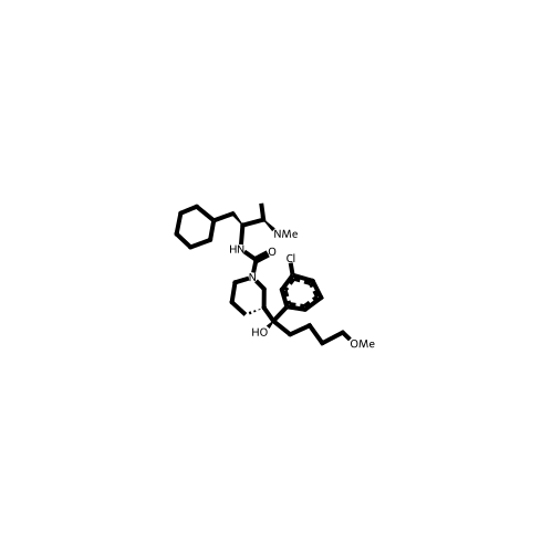 CN[C@H](C)[C@H](CC1CCCCC1)NC(=O)N1CCC[C@@H]([C@@](O)(CCCCOC)c2cccc(Cl)c2)C1